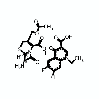 CC(=O)OCC1=C(C(=O)O)N2C(=O)[C@@H](N)[C@H]2SC1.CCn1cc(C(=O)O)c(=O)c2cc(F)c(Cl)cc21